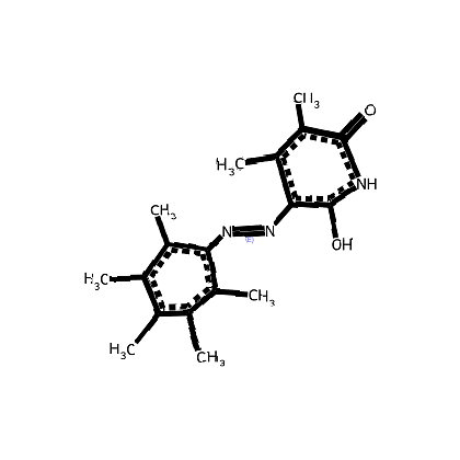 Cc1c(C)c(C)c(/N=N/c2c(O)[nH]c(=O)c(C)c2C)c(C)c1C